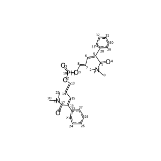 CN(C)C(=O)/C(=C\C=C\O[PH](=O)O/C=C/C=C(\C(=O)N(C)C)c1ccccc1)c1ccccc1